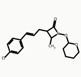 CC1C(C/C=C/c2ccc(Cl)cc2)C(=O)N1OC1CCCCO1